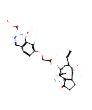 C=C[C@]1(C)C[C@@H](OC(=O)COc2ccc3c(c2F)B(O)N(C(=O)OC)N=C3)[C@]2(C)[C@H](C)CC[C@]3(CCC(=O)[C@H]32)[C@@H](C)[C@@H]1O